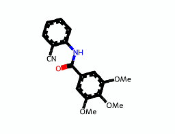 COc1cc(C(=O)Nc2ccccc2C#N)cc(OC)c1OC